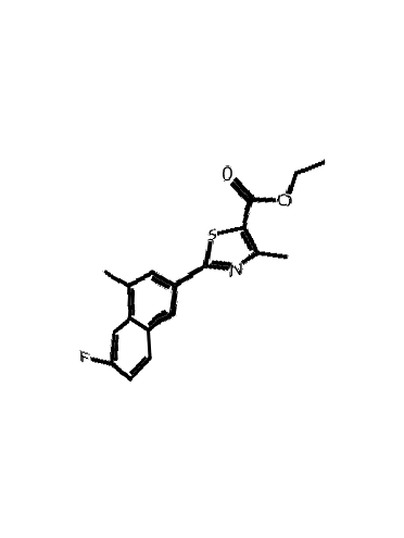 CCOC(=O)c1sc(-c2cc(C)c3cc(F)ccc3c2)nc1C